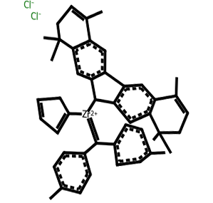 CC1=CCC(C)(C)c2cc3c(cc21)-c1cc2c(cc1[CH]3[Zr+2]([C]1=CC=CC1)=[C](c1ccc(C)cc1)c1ccc(C)cc1)C(C)(C)CC=C2C.[Cl-].[Cl-]